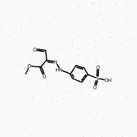 COC(=O)C(C=O)=NNc1ccc(S(=O)(=O)O)cc1